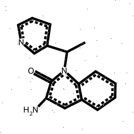 CC(c1cccnc1)n1c(=O)c(N)cc2ccccc21